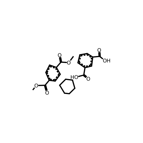 C1CCCCC1.COC(=O)c1ccc(C(=O)OC)cc1.O=C(O)c1cccc(C(=O)O)c1